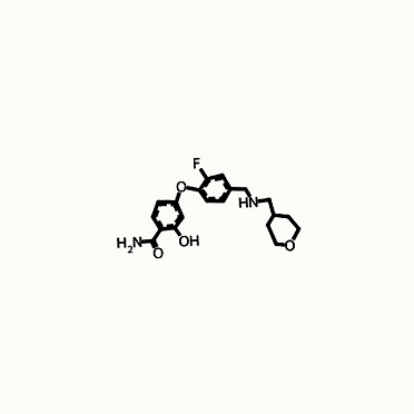 NC(=O)c1ccc(Oc2ccc(CNCC3CCOCC3)cc2F)cc1O